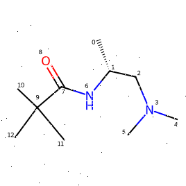 C[C@H](CN(C)C)NC(=O)C(C)(C)C